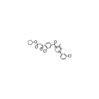 C[C@H]1[C@H](C)N(c2cccc(Cl)c2)CCN1C(=O)c1ccc([S+]([O-])CC(=O)OC2CCCC2)c(Cl)c1